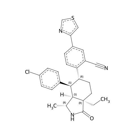 CC[C@@]12CC[C@@H](c3ccc(-c4cscn4)cc3C#N)[C@H](c3ccc(Cl)cc3)[C@@H]1[C@@H](C)NC2=O